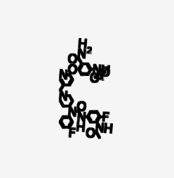 CC(=O)Nc1cc(NC(=O)N(c2cccc(F)c2)C2CCN(Cc3ccc(Oc4ccc(NS(C)(=O)=O)cc4C(N)=O)nc3)CC2)ccc1F